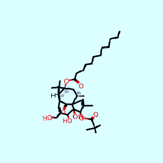 CCCCCCCCCCCC(=O)O[C@@]12C[C@@H](C)C34C=C(C)C(OC(=O)C(C)(C)C)C3(O)C(O)C(CO)=CC(C4=O)[C@H]1C2(C)C